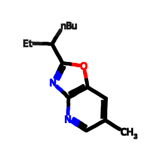 CCCCC(CC)c1nc2ncc(C)cc2o1